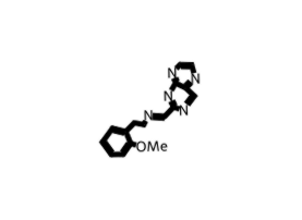 COc1ccccc1CCN=Cc1ncc2nccnc2n1